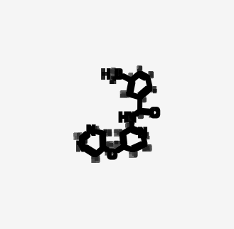 Bc1cccc(C(=O)Nc2cc(Oc3cncnc3)ccn2)c1